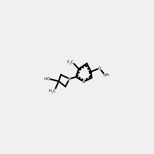 CCCOc1cnc(N2CC(C)(O)C2)c(C(F)(F)F)c1